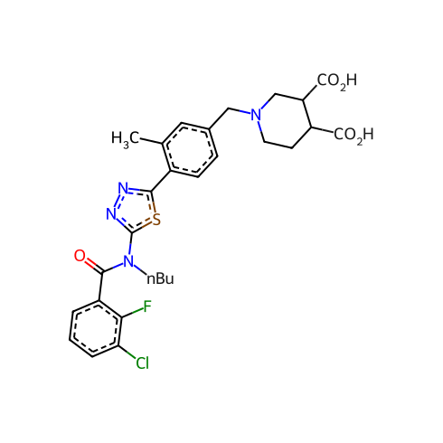 CCCCN(C(=O)c1cccc(Cl)c1F)c1nnc(-c2ccc(CN3CCC(C(=O)O)C(C(=O)O)C3)cc2C)s1